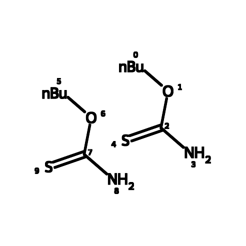 CCCCOC(N)=S.CCCCOC(N)=S